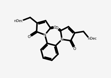 CCCCCCCCCCCC1=CC(=O)N(c2ccccc2N2C(=O)C=C(CCCCCCCCCCC)C2=O)C1=O